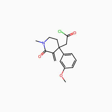 C=C1C(=O)N(C)CCC1(CC(=O)Cl)c1cccc(OC)c1